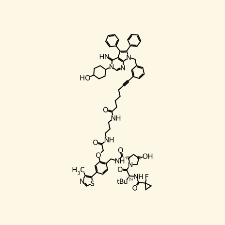 Cc1ncsc1-c1ccc(CNC(=O)[C@@H]2C[C@@H](O)CN2C(=O)[C@@H](NC(=O)C2(F)CC2)C(C)(C)C)c(OCC(=O)NCCCNC(=O)CCCCC#Cc2cccc(Cn3c(-c4ccccc4)c(-c4ccccc4)c4c(=N)n(C5CCC(O)CC5)cnc43)c2)c1